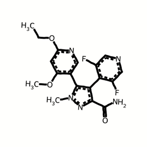 CCOc1cc(OC)c(-c2c(-c3c(F)cncc3F)c(C(N)=O)nn2C)cn1